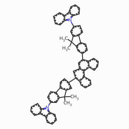 CC1(C)c2cc(-c3cc4cc(-c5ccc6c(c5)C(C)(C)c5cc(-n7c8ccccc8c8ccccc87)ccc5-6)c5ccccc5c4c4ccccc34)ccc2-c2ccc(-n3c4ccccc4c4ccccc43)cc21